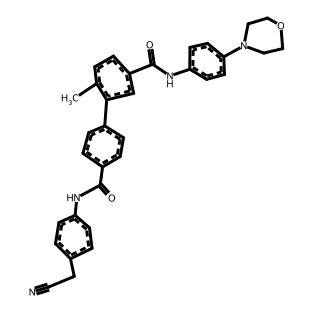 Cc1ccc(C(=O)Nc2ccc(N3CCOCC3)cc2)cc1-c1ccc(C(=O)Nc2ccc(CC#N)cc2)cc1